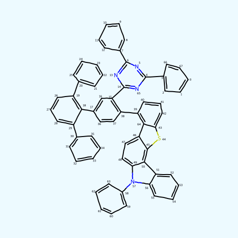 c1ccc(-c2nc(-c3ccccc3)nc(-c3cc(-c4c(-c5ccccc5)cccc4-c4ccccc4)ccc3-c3cccc4sc5c(ccc6c5c5ccccc5n6-c5ccccc5)c34)n2)cc1